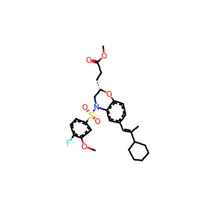 COC(=O)CC[C@H]1CN(S(=O)(=O)c2ccc(F)c(OC)c2)c2cc(/C=C(\C)C3CCCCC3)ccc2O1